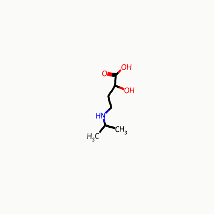 CC(C)NCCC(O)C(=O)O